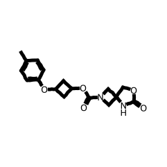 Cc1ccc(OC2CC(OC(=O)N3CC4(COC(=O)N4)C3)C2)cc1